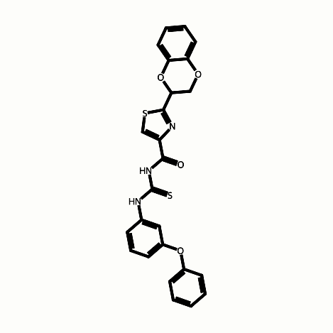 O=C(NC(=S)Nc1cccc(Oc2ccccc2)c1)c1csc(C2COc3ccccc3O2)n1